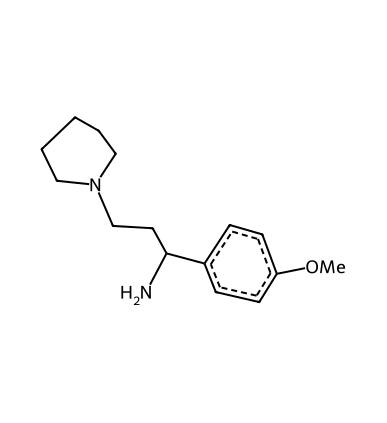 COc1ccc(C(N)CCN2CCCCC2)cc1